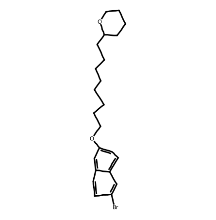 Brc1ccc2cc(OCCCCCCCCC3CCCCO3)ccc2c1